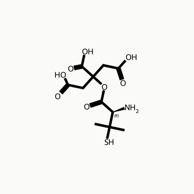 CC(C)(S)[C@H](N)C(=O)OC(CC(=O)O)(CC(=O)O)C(=O)O